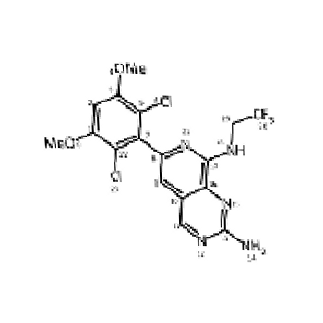 COc1cc(OC)c(Cl)c(-c2cc3cnc(N)nc3c(NCC(F)(F)F)n2)c1Cl